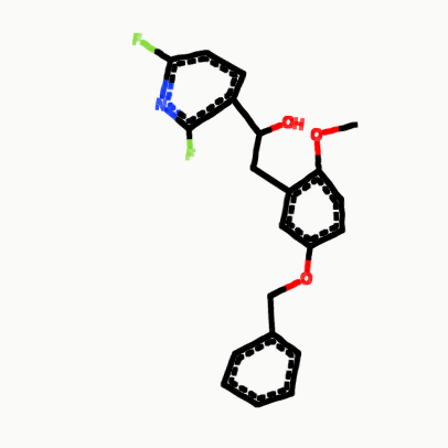 COc1ccc(OCc2ccccc2)cc1CC(O)c1ccc(F)nc1F